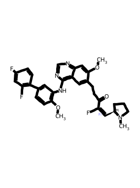 COc1cc2ncnc(Nc3cc(-c4ccc(F)cc4F)ccc3OC)c2cc1CCC(=O)/C(F)=C\[C@H]1CCCN1C